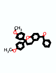 COc1ccc(C2(c3ccc(OC)cc3)C=Cc3cc(C(=O)c4ccccc4)ccc3O2)cc1